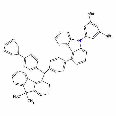 CCCCc1cc(CCCC)cc(-n2c3ccccc3c3c(-c4ccc(C(c5ccc(-c6ccccc6)cc5)c5cccc6c5-c5ccccc5C6(C)C)cc4)cccc32)c1